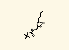 CCCCc1nc(CNC(=O)OC(C)(C)C)n[nH]1